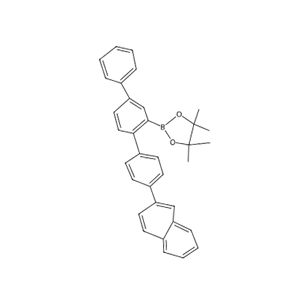 CC1(C)OB(c2cc(-c3ccccc3)ccc2-c2ccc(-c3ccc4ccccc4c3)cc2)OC1(C)C